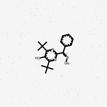 CC(C)(C)c1nc(/C(=N\O)c2ccccc2)nc(C(C)(C)C)c1O